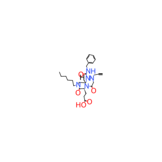 C#CCN1CC(=O)N2[C@@H](CCC(=O)O)C(=O)N(CCCCCC)C[C@@H]2N1C(=O)NCc1ccccc1